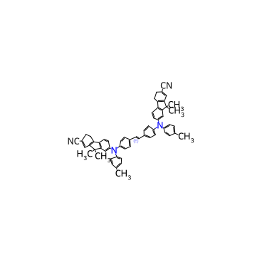 Cc1ccc(N(c2ccc(/C=C/c3ccc(N(c4ccc(C)cc4)c4ccc5c(c4)C(C)(C)C4=C5CCC(C#N)=C4)cc3)cc2)c2ccc3c(c2)C(C)(C)C2=C3CCC(C#N)=C2)cc1